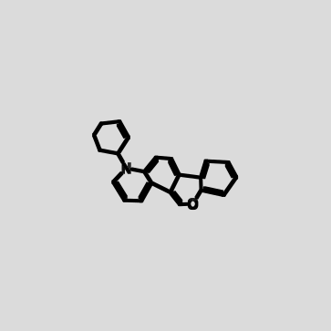 C1=CN(C2C=CCCC2)c2ccc3c(c2=C1)=COc1ccccc1-3